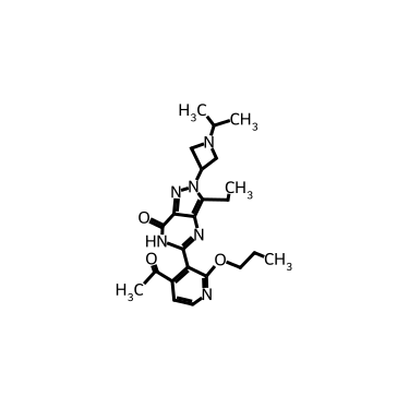 CCCOc1nccc(C(C)=O)c1-c1nc2c(CC)n(C3CN(C(C)C)C3)nc2c(=O)[nH]1